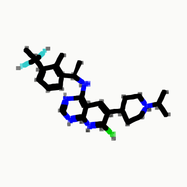 Cc1c([C@@H](C)Nc2ncnc3nc(Cl)c(C4CCN(C(C)C)CC4)cc23)cccc1C(C)(F)F